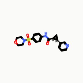 O=C(Nc1ccc(S(=O)(=O)N2CCOCC2)cc1)[C@H]1C[C@@H]1c1cccnc1